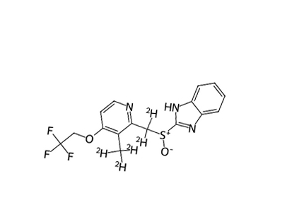 [2H]C([2H])([2H])c1c(OCC(F)(F)F)ccnc1C([2H])([2H])[S+]([O-])c1nc2ccccc2[nH]1